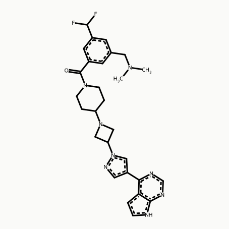 CN(C)Cc1cc(C(=O)N2CCC(N3CC(n4cc(-c5ncnc6[nH]ccc56)cn4)C3)CC2)cc(C(F)F)c1